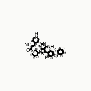 N#CC(=CC1CCNCC1)C(=O)N1CCC[C@@H](n2nc(-c3ccc(Oc4ccccc4)cc3F)c3c(N)ncnc32)C1